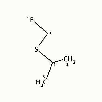 CC(C)SCF